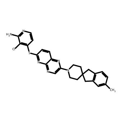 Cc1ccc2c(c1)CC1(CCN(c3cnc4nc(Sc5ccnc(N)c5Cl)ccc4n3)CC1)C2